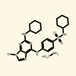 CCn1cnc2c(Nc3ccc(S(=O)(=O)NC4CCCCC4)cc3)nc(NC3CCCCC3)nc21.NC(=O)O